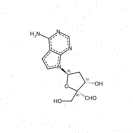 Nc1ncnc2c1ccn2[C@H]1C[C@H](O)[C@@](C=O)(CO)O1